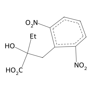 CCC(O)(Cc1c([N+](=O)[O-])cccc1[N+](=O)[O-])C(=O)O